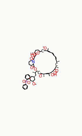 CO[C@H]1CC2CC[C@@H](C)[C@@](O)(O2)C(=O)C(=O)N2CCCCC2C(=O)O[C@H]([C@H](C)C[C@@H]2CC[C@@H](OP(=O)(c3ccccc3)c3ccccc3)[C@H](OC)C2)CC(=O)[C@H](C)/C=C(\C)[C@@H](O)[C@@H](OC)C(=O)[C@H](C)C[C@H](C)/C=C/C=C/C=C/1C